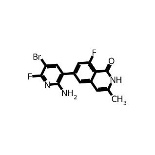 Cc1cc2cc(-c3cc(Br)c(F)nc3N)cc(F)c2c(=O)[nH]1